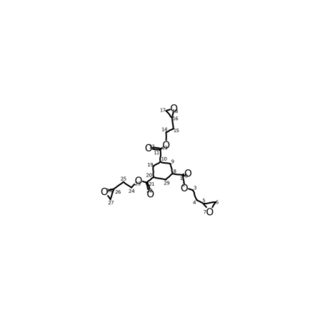 O=C(OCCC1CO1)C1CC(C(=O)OCCC2CO2)CC(C(=O)OCCC2CO2)C1